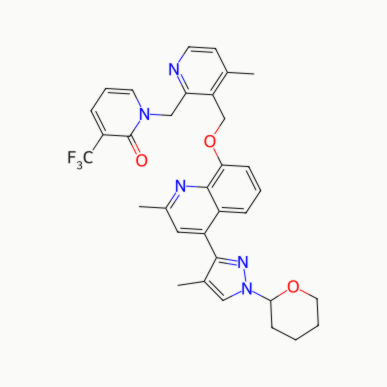 Cc1cc(-c2nn(C3CCCCO3)cc2C)c2cccc(OCc3c(C)ccnc3Cn3cccc(C(F)(F)F)c3=O)c2n1